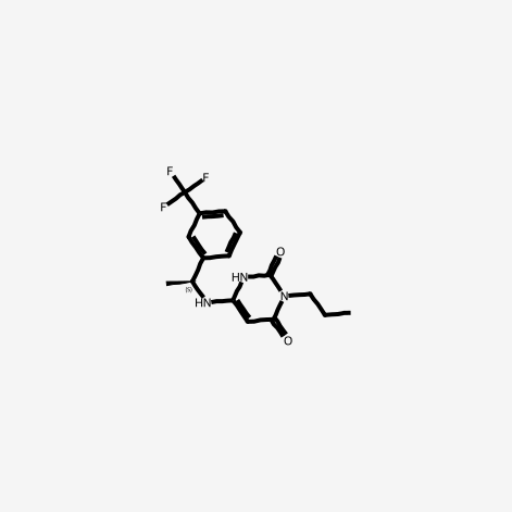 CCCn1c(=O)cc(N[C@@H](C)c2cccc(C(F)(F)F)c2)[nH]c1=O